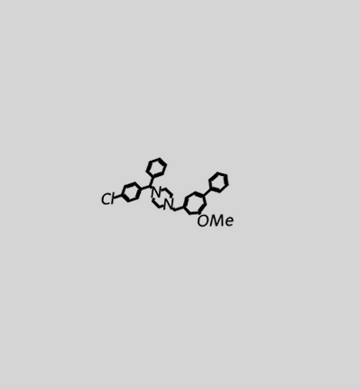 COC1=CC(c2ccccc2)=CC=C(CN2CCN(C(c3ccccc3)c3ccc(Cl)cc3)CC2)C1